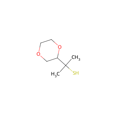 CC(C)(S)C1COCCO1